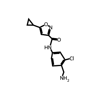 NCc1ccc(NC(=O)c2cc(C3CC3)on2)cc1Cl